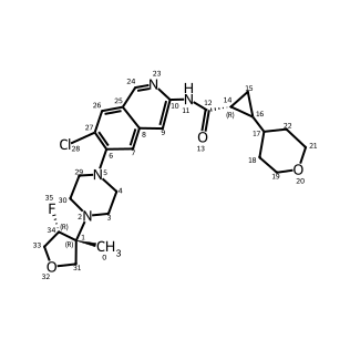 C[C@@]1(N2CCN(c3cc4cc(NC(=O)[C@@H]5CC5C5CCOCC5)ncc4cc3Cl)CC2)COC[C@@H]1F